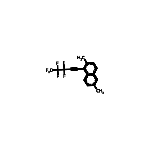 Cc1ccc2c(C#CC(F)(F)C(F)(F)C(F)(F)F)c(C)ccc2c1